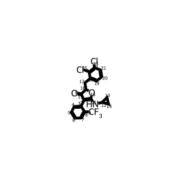 O=C1C(c2ccccc2C(F)(F)F)=C(NC2CC2)OC1Cc1cccc(Cl)c1Cl